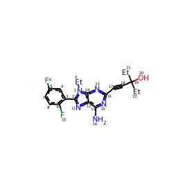 CCn1c(-c2cc(F)ccc2F)nc2c(N)nc(C#CC(O)(CC)CC)nc21